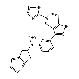 O=CN(c1cccc(-c2n[nH]c3ccc(-c4ncn[nH]4)cc23)c1)C1Cc2ccccc2C1